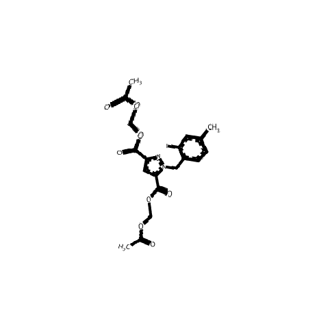 CC(=O)OCOC(=O)c1cc(C(=O)OCOC(C)=O)n(Cc2ccc(C)cc2I)n1